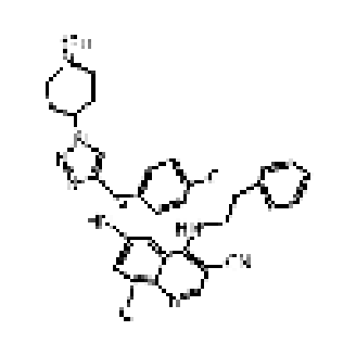 CC(C)(C)N1CCC(n2cc([C@@H](Nc3cc(Cl)c4ncc(C#N)c(NCCc5ccccc5)c4c3)c3ccc(Cl)cc3)nn2)CC1